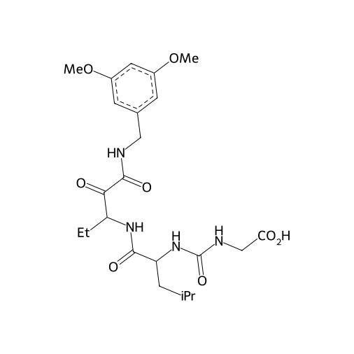 CCC(NC(=O)C(CC(C)C)NC(=O)NCC(=O)O)C(=O)C(=O)NCc1cc(OC)cc(OC)c1